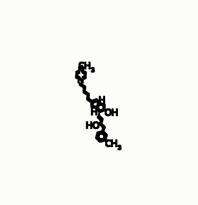 Cc1cccc(C[C@@H](O)/C=C/[C@@H]2[C@H]3CC(CCCCCN4CCN(C)CC4)=C[C@H]3C[C@H]2O)c1